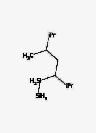 CC(C)C(C)CC([SiH2][SiH3])C(C)C